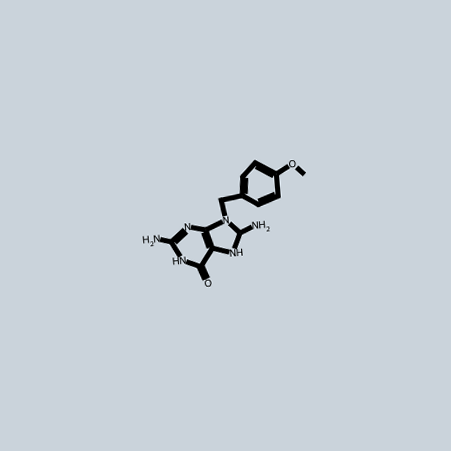 COc1ccc(CN2c3nc(N)[nH]c(=O)c3NC2N)cc1